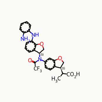 CC(C(=O)O)[C@@H]1COc2cc(N(C(=O)C(F)(F)F)[C@@H]3COc4c(Nc5ccccc5N)cccc43)ccc21